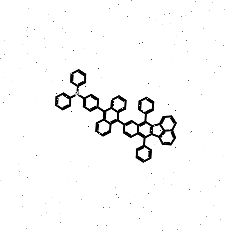 c1ccc(-c2c3c(c(-c4ccccc4)c4cc(-c5c6ccccc6c(-c6ccc(N(c7ccccc7)c7ccccc7)cc6)c6ccccc56)ccc24)-c2cccc4cccc-3c24)cc1